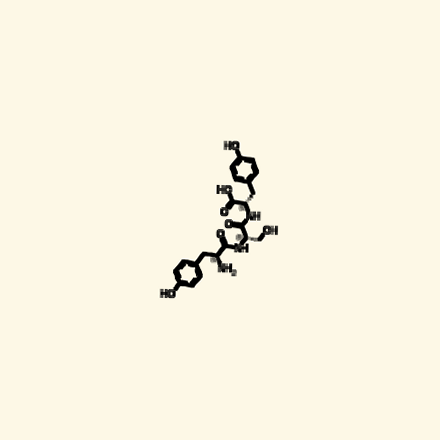 N[C@@H](Cc1ccc(O)cc1)C(=O)N[C@@H](CO)C(=O)N[C@@H](Cc1ccc(O)cc1)C(=O)O